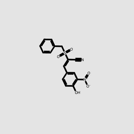 N#C/C(=C\c1ccc(O)c([N+](=O)[O-])c1)S(=O)(=O)Cc1ccccc1